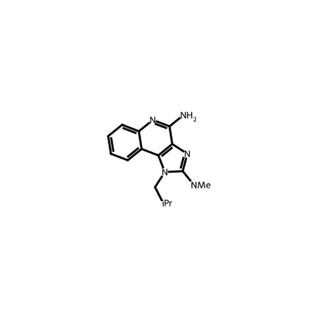 CNc1nc2c(N)nc3ccccc3c2n1CC(C)C